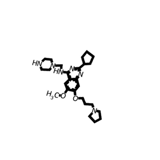 COc1cc2c(NCN3CCNCC3)nc(C3CCCC3)nc2cc1OCCCN1CCCC1